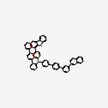 c1ccc(-c2ccc(-c3ccccc3N(c3ccc(-c4ccc(-c5cccc(-c6ccc7ccccc7c6)c5)cc4)cc3)c3ccc(-c4cccc5c4sc4ccccc45)cc3)cc2)cc1